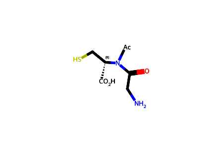 CC(=O)N(C(=O)CN)[C@@H](CS)C(=O)O